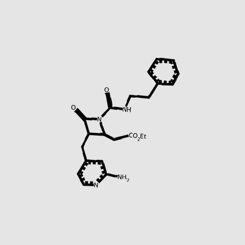 CCOC(=O)CC1C(Cc2ccnc(N)c2)C(=O)N1C(=O)NCCc1ccccc1